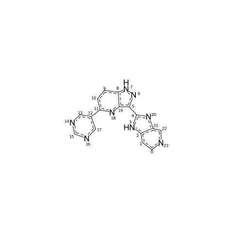 c1cc2[nH]c(-c3n[nH]c4ccc(-c5cncnc5)nc34)nc2cn1